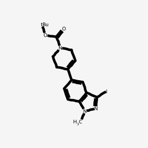 Cn1nc(I)c2cc(C3=CCN(C(=O)OC(C)(C)C)CC3)ccc21